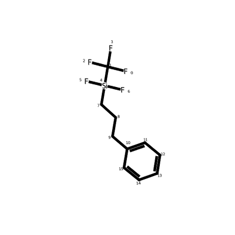 FC(F)(F)[Si](F)(F)CCCc1ccccc1